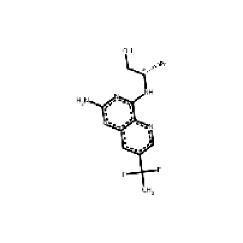 CCC[C@@H](CO)Nc1nc(N)nc2cc(C(C)(F)F)cnc12